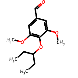 CCC(CC)Oc1c(OC)cc(C=O)cc1OC